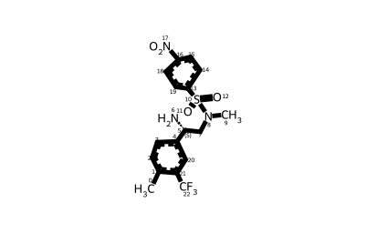 Cc1ccc([C@H](N)CN(C)S(=O)(=O)c2ccc([N+](=O)[O-])cc2)cc1C(F)(F)F